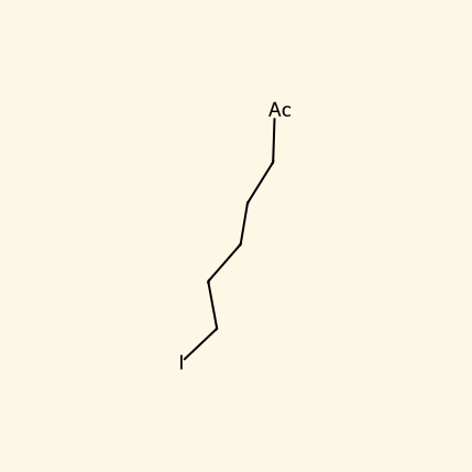 CC(=O)CCCCCI